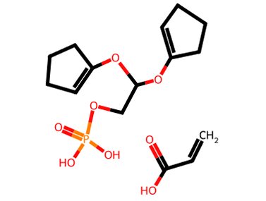 C=CC(=O)O.O=P(O)(O)OCC(OC1=CCCC1)OC1=CCCC1